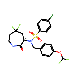 O=C1NCCC(F)(F)C[C@H]1N(Cc1ccc(OC(F)F)cc1)S(=O)(=O)c1ccc(Cl)cc1